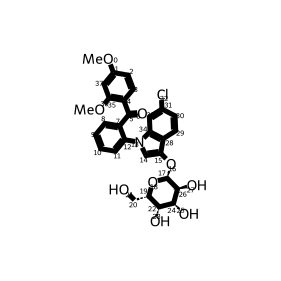 COc1ccc(C(=O)c2ccccc2-n2cc(O[C@H]3O[C@@H](CO)[C@@H](O)[C@@H](O)[C@@H]3O)c3ccc(Cl)cc32)c(OC)c1